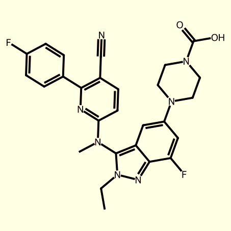 CCn1nc2c(F)cc(N3CCN(C(=O)O)CC3)cc2c1N(C)c1ccc(C#N)c(-c2ccc(F)cc2)n1